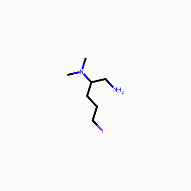 CN(C)C(CN)CCCI